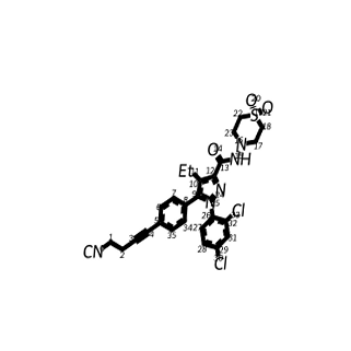 [C-]#[N+]CCC#Cc1ccc(-c2c(CC)c(C(=O)NN3CCS(=O)(=O)CC3)nn2-c2ccc(Cl)cc2Cl)cc1